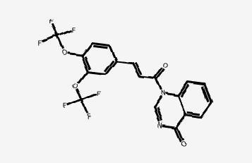 O=C(/C=C/c1ccc(OC(F)(F)F)c(OC(F)(F)F)c1)n1cnc(=O)c2ccccc21